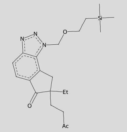 CCC1(CCC(C)=O)Cc2c(ccc3nnn(COCC[Si](C)(C)C)c23)C1=O